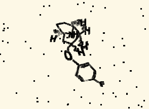 [2H]C1(Oc2ccc(F)cc2)C[C@H]2CC[C@]([2H])(N2)C1([2H])[2H]